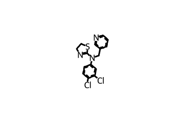 Clc1ccc(N(Cc2cccnc2)C2=NCCS2)cc1Cl